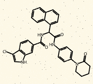 O=C(NC(C(=O)Nc1ccc(N2CCCCC2=O)cc1)c1cccc2ccccc12)c1ccc2c(Cl)c[nH]c2c1